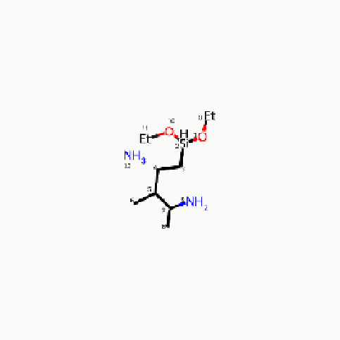 CCO[SiH](CCC(C)C(C)N)OCC.N